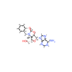 Nc1ncnc2c1ncn2[C@@H]1O[C@H](CO)[C@@H]2C1OC(=O)N2Cc1ccccc1